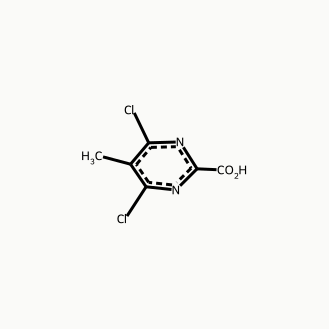 Cc1c(Cl)nc(C(=O)O)nc1Cl